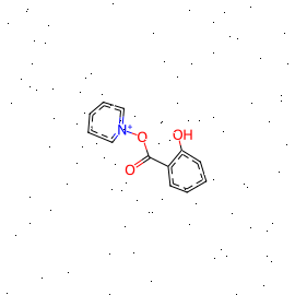 O=C(O[n+]1ccccc1)c1ccccc1O